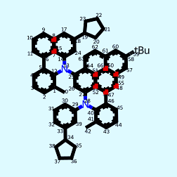 Cc1cccc(-c2ccccc2)c1N(c1cccc(C2CCCC2)c1)c1cc(N(c2cccc(C3CCCC3)c2)c2c(C)cccc2-c2ccccc2)c2ccc3cc(C(C)(C)C)cc4ccc1c2c43